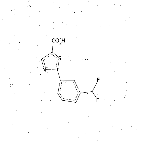 O=C(O)c1cnc(-c2cccc(C(F)F)c2)s1